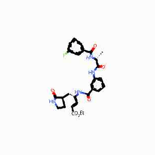 CCOC(=O)/C=C/[C@H](CC1CCNC1=O)NC(=O)c1cccc(NC(=O)[C@@H](C)NC(=O)c2cccc(F)c2)c1